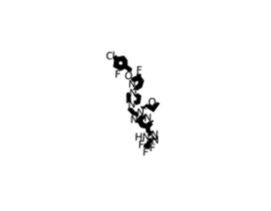 Fc1cc(Cl)ccc1COc1nc(N2CCN(Cc3nc4cc(-c5nnc(C(F)(F)F)[nH]5)cnc4n3C[C@@H]3CCO3)CC2)ccc1F